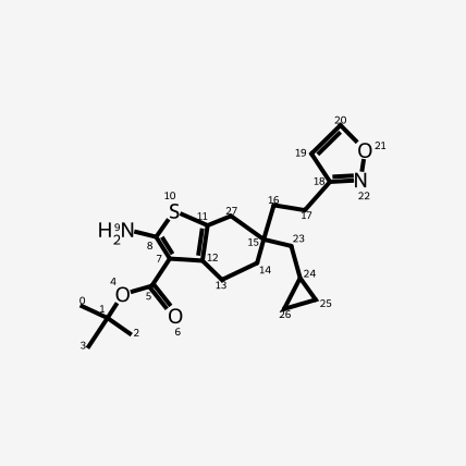 CC(C)(C)OC(=O)c1c(N)sc2c1CCC(CCc1ccon1)(CC1CC1)C2